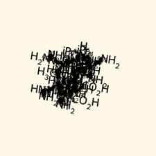 CC[C@H](C)[C@H](NC(=O)[C@H](C)N)C(=O)N[C@@H](CCCNC(=N)N)C(=O)N[C@@H](CC(N)=O)C(=O)N[C@@H](CC(=O)O)C(=O)N[C@@H](CCC(=O)O)C(=O)N[C@@H](CCC(=O)O)C(=O)N[C@@H](CC(C)C)C(=O)N[C@@H](CC(N)=O)C(=O)N[C@@H](CCCCN)C(=O)N[C@@H](CC(C)C)C(=O)N[C@@H](CC(C)C)C(=O)NCC(=O)N[C@@H](CCCNC(=N)N)C(=O)O